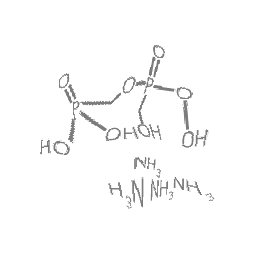 N.N.N.N.O=P(O)(O)OP(=O)(O)OO